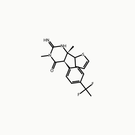 CN1C(=N)N[C@](C)(C2CC=CS2)[C@@H](c2ccc(C(C)(F)F)cc2)C1=O